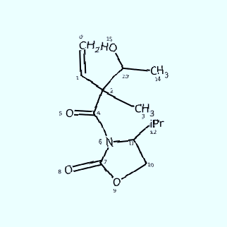 C=CC(C)(C(=O)N1C(=O)OCC1C(C)C)C(C)O